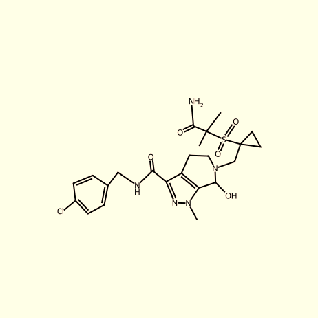 Cn1nc(C(=O)NCc2ccc(Cl)cc2)c2c1C(O)N(CC1(S(=O)(=O)C(C)(C)C(N)=O)CC1)CC2